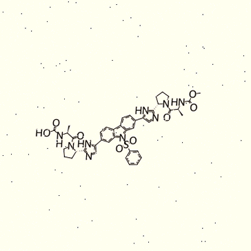 COC(=O)N[C@@H](C)C(=O)N1CCC[C@H]1c1ncc(-c2ccc3c4ccc(-c5cnc([C@@H]6CCCN6C(=O)[C@H](C)NC(=O)O)[nH]5)cc4n(S(=O)(=O)c4ccccc4)c3c2)[nH]1